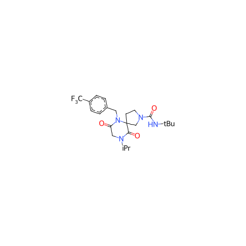 CC(C)N1CC(=O)N(Cc2ccc(C(F)(F)F)cc2)C2(CCN(C(=O)NC(C)(C)C)C2)C1=O